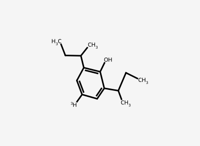 [3H]c1cc(C(C)CC)c(O)c(C(C)CC)c1